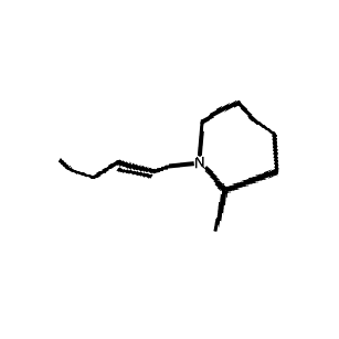 CCC=CN1CCCCC1C